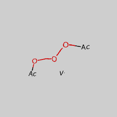 CC(=O)OOOC(C)=O.[V]